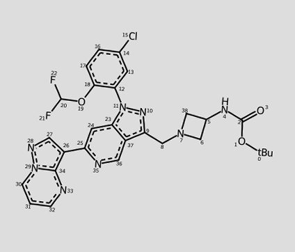 CC(C)(C)OC(=O)NC1CN(Cc2nn(-c3cc(Cl)ccc3OC(F)F)c3cc(-c4cnn5cccnc45)ncc23)C1